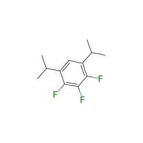 CC(C)c1cc(C(C)C)c(F)c(F)c1F